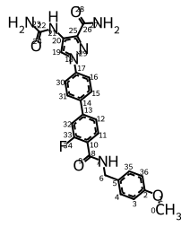 COc1ccc(CNC(=O)c2ccc(-c3ccc(-n4cc(NC(N)=O)c(C(N)=O)n4)cc3)cc2F)cc1